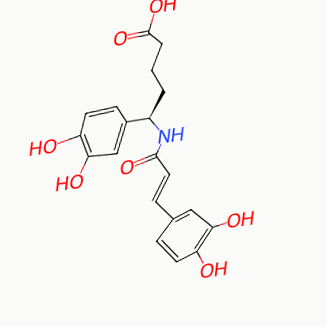 O=C(O)CCC[C@@H](NC(=O)C=Cc1ccc(O)c(O)c1)c1ccc(O)c(O)c1